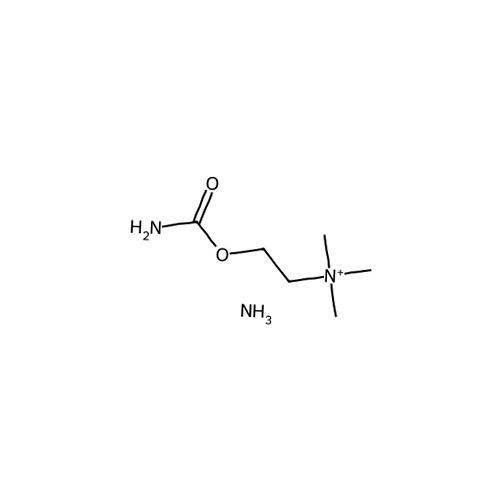 C[N+](C)(C)CCOC(N)=O.N